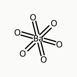 [O]=[Ba](=[O])(=[O])(=[O])(=[O])=[O]